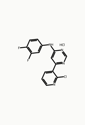 Cl.Fc1ccc(Nc2cc(-c3cccnc3Cl)ncn2)cc1F